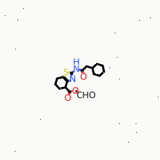 O=COC(=O)C1CCCc2sc(NC(=O)CC3CCCCC3)nc21